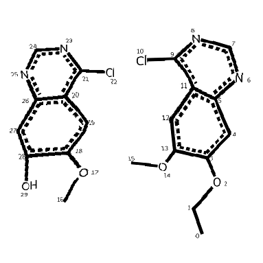 CCOc1cc2ncnc(Cl)c2cc1OC.COc1cc2c(Cl)ncnc2cc1O